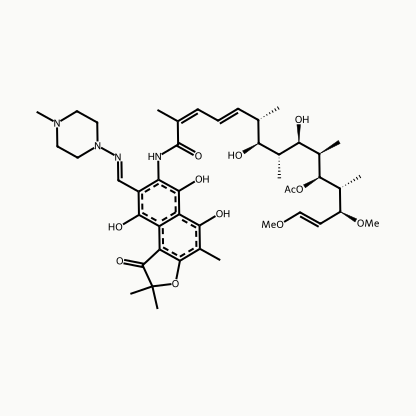 CO/C=C/[C@H](OC)[C@@H](C)[C@@H](OC(C)=O)[C@H](C)[C@H](O)[C@H](C)[C@@H](O)[C@@H](C)/C=C/C=C(/C)C(=O)Nc1c(/C=N/N2CCN(C)CC2)c(O)c2c3c(c(C)c(O)c2c1O)OC(C)(C)C3=O